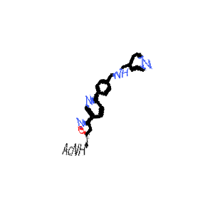 CC(=O)NC[C@H]1CC(c2ccc(-c3ccc(CNCc4ccncc4)cc3)nc2)=NO1